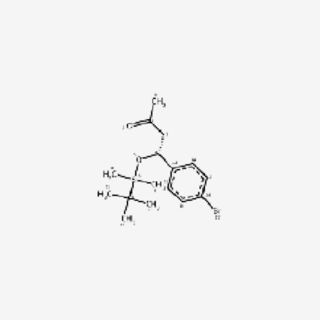 CC(=O)C[C@@H](O[Si](C)(C)C(C)(C)C)c1ccc(Br)cc1